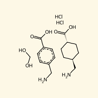 Cl.Cl.NC[C@H]1CC[C@H](C(=O)O)CC1.NCc1ccc(C(=O)O)cc1.OCO